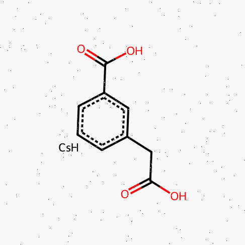 O=C(O)Cc1cccc(C(=O)O)c1.[CsH]